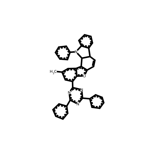 Cc1cc(-c2nc(-c3ccccc3)nc(-c3ccccc3)n2)c2oc3c(c2c1)C1C(C=C3)c2ccccc2N1c1ccccc1